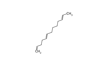 C=CCCC=CCCCCC=CC